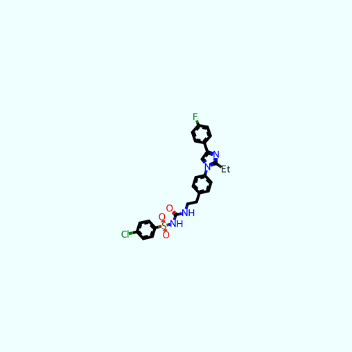 CCc1nc(-c2ccc(F)cc2)cn1-c1ccc(CCNC(=O)NS(=O)(=O)c2ccc(Cl)cc2)cc1